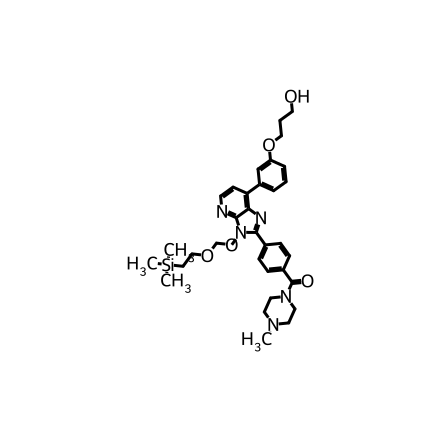 CN1CCN(C(=O)c2ccc(-c3nc4c(-c5cccc(OCCCO)c5)ccnc4n3OCOCC[Si](C)(C)C)cc2)CC1